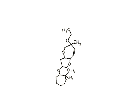 CCOC1(C)C=CC2OC3(C)CC4(C)OCCCCC4OC3CC2OC1